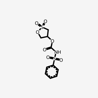 O=C(NS(=O)(=O)c1ccccc1)OC1COS(=O)(=O)C1